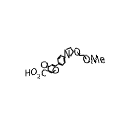 COCCO[C@@H]1CCN(c2ccc(-c3cc(=O)c(C(=O)O)co3)cc2)C1